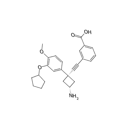 COc1ccc([C@]2(C#Cc3cccc(C(=O)O)c3)C[C@@H](N)C2)cc1OC1CCCC1